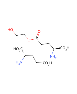 N[C@@H](CCC(=O)O)C(=O)O.N[C@@H](CCC(=O)OCCO)C(=O)O